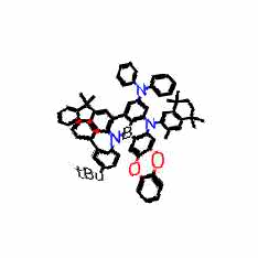 Cc1cc2c(cc1N1c3cc4c(cc3B3c5c(cc(N(c6ccccc6)c6ccccc6)cc51)-c1cc5c(cc1N3c1ccc(C(C)(C)C)cc1-c1ccccc1)-c1ccccc1C5(C)C)Oc1ccccc1O4)C(C)(C)CCC2(C)C